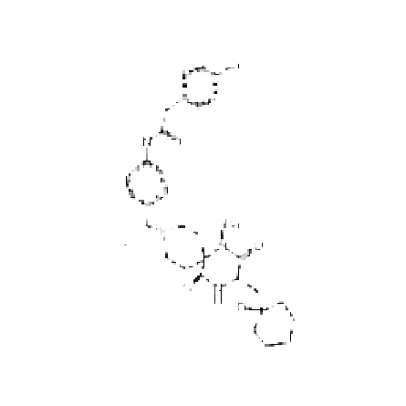 CCCCN1C(=O)[C@@H](CC2(O)CCCCC2)NC(=O)C12CCN(Cc1ccc(NC(=O)Cc3ccc(Br)cc3)cc1)CC2.Cl